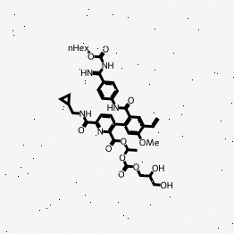 C=Cc1cc(C(=O)Nc2ccc(C(=N)NC(=O)OCCCCCC)cc2)c(-c2ccc(C(=O)NCC3CC3)nc2C(=O)OC(C)OC(=O)OCC(O)CO)cc1OC